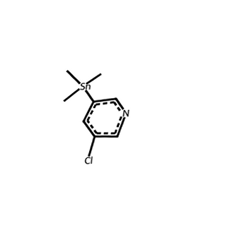 [CH3][Sn]([CH3])([CH3])[c]1cncc(Cl)c1